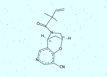 C=CC(C)(C)C(=O)N1C[C@@H]2C[C@H]1c1cncc(C#N)c1O2